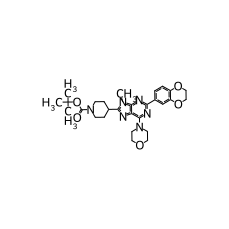 Cn1c(C2CCN(C(=O)OC(C)(C)C)CC2)nc2c(N3CCOCC3)nc(-c3ccc4c(c3)OCCO4)nc21